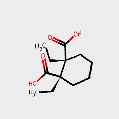 CC[C@@]1(C(=O)O)CCCC[C@]1(CC)C(=O)O